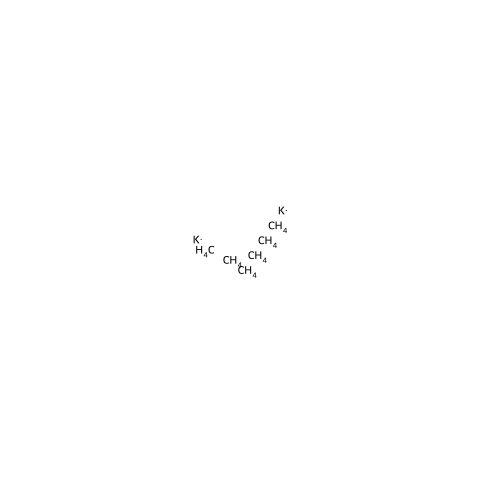 C.C.C.C.C.C.[K].[K]